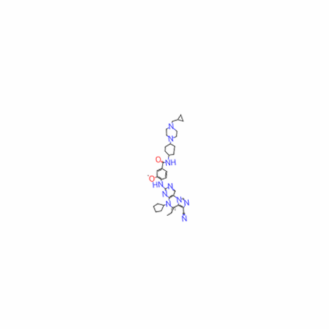 CC[C@@H]1c2c(C#N)ncn2-c2cnc(Nc3ccc(C(=O)NC4CCC(N5CCN(CC6CC6)CC5)CC4)cc3OC)nc2N1C1CCCC1